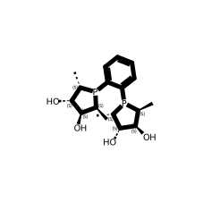 C[C@H]1[C@@H](O)[C@H](O)[C@H](C)P1c1ccccc1P1[C@@H](C)[C@@H](O)[C@H](O)[C@@H]1C